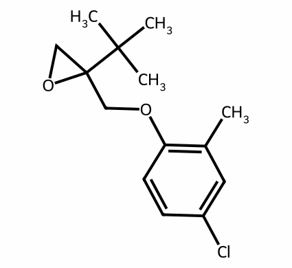 Cc1cc(Cl)ccc1OCC1(C(C)(C)C)CO1